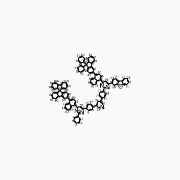 c1ccc(-c2nc(-c3ccc(-c4cncc(-c5ccc(-c6nc(-c7ccc8c(c7)oc7ccccc78)cc(-c7ccc(-c8ccc9c(c8)-c8ccccc8C9(c8ccccc8)c8ccccc8)c8ccccc78)n6)cc5)c4)cc3)cc(-c3ccc(-c4ccc5c(c4)-c4ccccc4C5(c4ccccc4)c4ccccc4)c4ccccc34)n2)cc1